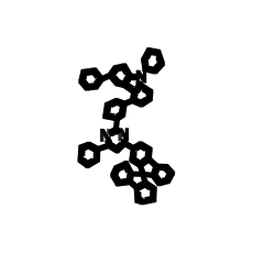 c1ccc(-c2ccc3c(c2)c2c(-c4cccc(-c5nc(-c6ccccc6)cc(-c6ccc7c(c6)C6(c8ccccc8-c8ccccc86)c6ccccc6-7)n5)c4)cccc2n3-c2ccccc2)cc1